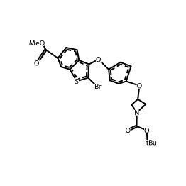 COC(=O)c1ccc2c(Oc3ccc(OC4CN(C(=O)OC(C)(C)C)C4)cc3)c(Br)sc2c1